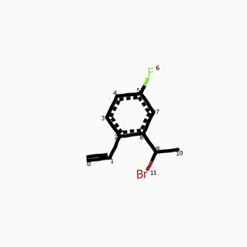 C=Cc1ccc(F)cc1C(C)Br